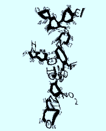 O=C(NS(=O)(=O)c1ccc(NCC2CCOCC2)c([N+](=O)[O-])c1)c1c(F)cc(N2CCN(CC3=C(c4ccc(Cl)cc4)CC4(CCC4)CC3)CC2)cc1Oc1cnc2[nH]ccc2c1